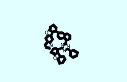 c1ccc(-c2nc(-c3cccc4cc(-c5cccc6oc7cc8cccnc8cc7c56)ccc34)nc(-c3cccc4oc5ccccc5c34)n2)cc1